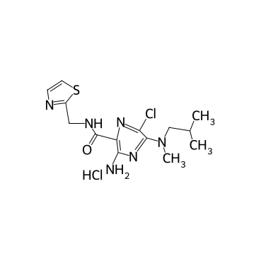 CC(C)CN(C)c1nc(N)c(C(=O)NCc2nccs2)nc1Cl.Cl